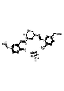 CC(=O)[O-].CC(=O)[O-].CC(C)(C)Cc1ccc(O)c(C=NC2CCCC(N=Cc3cc(CC(C)(C)C)ccc3O)C2)c1.[Co+2]